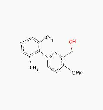 COc1ccc(-c2c(C)cccc2C)cc1CO